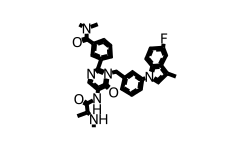 CNC(C)C(=O)Nc1cnc(-c2cccc(C(=O)N(C)C)c2)n(Cc2cccc(-n3cc(C)c4cc(F)ccc43)c2)c1=O